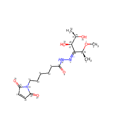 CO[C@@H](C)/C(=N/NC(=O)CCCCCN1C(=O)C=CC1=O)[C@@H](O)[C@@H](C)O